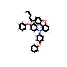 C/C=C\C=C/c1ccc2oc3cccc(N(c4ccc(Oc5ccccc5)cc4)c4ccc(Oc5ccccc5)cc4)c3c2c1